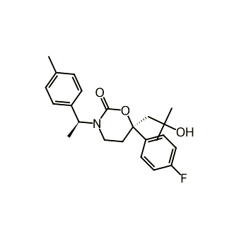 Cc1ccc([C@H](C)N2CC[C@](CC(C)(C)O)(c3ccc(F)cc3)OC2=O)cc1